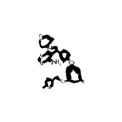 Cc1ccc(COc2cc(F)cc(Oc3ccc(-c4cn(C5CCOCC5)c5ncnc(N)c45)cc3)c2)cn1